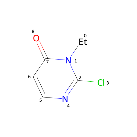 CCn1c(Cl)nccc1=O